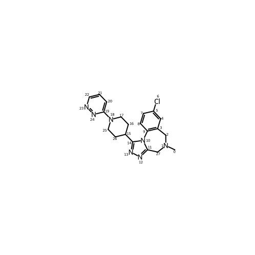 CN1Cc2cc(Cl)ccc2-n2c(nnc2C2CCN(c3cccnn3)CC2)C1